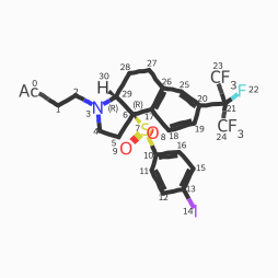 CC(=O)CCN1CC[C@@]2(S(=O)(=O)c3ccc(I)cc3)c3ccc(C(F)(C(F)(F)F)C(F)(F)F)cc3CC[C@@H]12